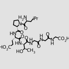 CC(C)C[C@H](N)C(=O)N1CCC[C@H]1C(=O)N[C@@H](CCC(=O)O)C(=O)N[C@H](C(=O)NCC(=O)NCC(=O)NCC(=O)O)[C@@H](C)O